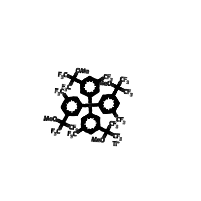 COC(c1cc([B-](c2cc(C(F)(F)F)cc(C(OC)(C(F)(F)F)C(F)(F)F)c2)(c2cc(C(F)(F)F)cc(C(OC)(C(F)(F)F)C(F)(F)F)c2)c2cc(C(F)(F)F)cc(C(OC)(C(F)(F)F)C(F)(F)F)c2)cc(C(F)(F)F)c1)(C(F)(F)F)C(F)(F)F.[Tl+]